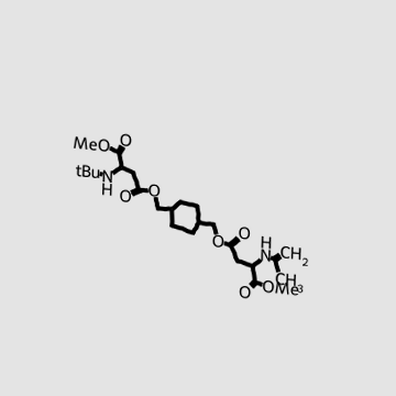 C=C(C)NC(CC(=O)OCC1CCC(COC(=O)CC(NC(C)(C)C)C(=O)OC)CC1)C(=O)OC